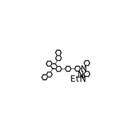 CCc1nc2cccc3c2n1-c1cc(-c2ccc(-c4ccc5c(-c6ccc7ccccc7c6)c6ccccc6c(-c6ccc7ccccc7c6)c5c4)cc2)ccc1N3c1ccccc1